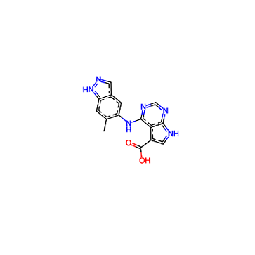 Cc1cc2[nH]ncc2cc1Nc1ncnc2[nH]cc(C(=O)O)c12